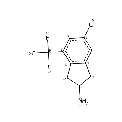 NC1Cc2cc(Cl)cc(C(F)(F)F)c2C1